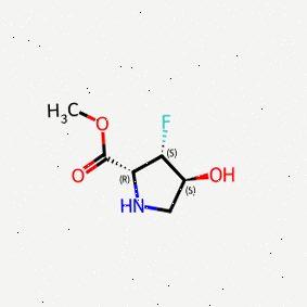 COC(=O)[C@H]1NC[C@H](O)[C@H]1F